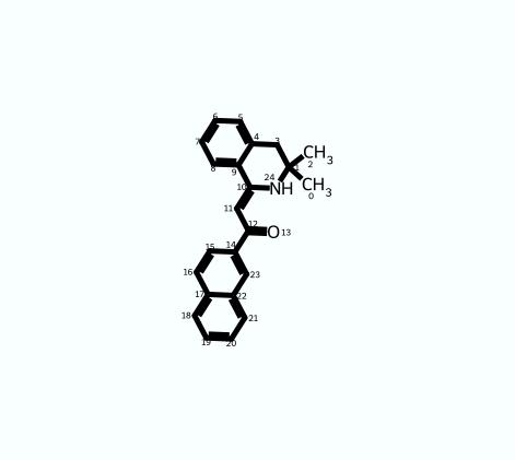 CC1(C)Cc2ccccc2C(=CC(=O)c2ccc3ccccc3c2)N1